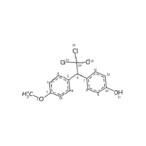 COc1ccc(C(c2ccc(O)cc2)C(Cl)(Cl)Cl)cc1